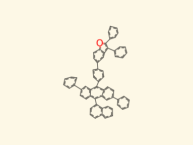 c1ccc(-c2ccc3c(-c4cccc5ccccc45)c4cc(-c5ccccc5)ccc4c(-c4ccc(-c5ccc6oc(-c7ccccc7)c(-c7ccccc7)c6c5)cc4)c3c2)cc1